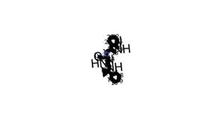 O=C1NC(NC2(c3ccccc3)CC2)=N/C1=C\c1c[nH]c2ncccc12